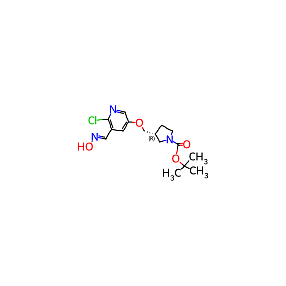 CC(C)(C)OC(=O)N1CC[C@@H](COc2cnc(Cl)c(C=NO)c2)C1